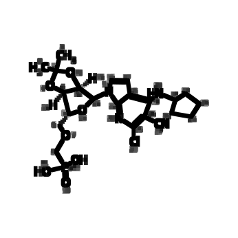 CC1(C)O[C@@H]2[C@@H](COCP(=O)(O)O)OC(n3ccc4c(NC5CCCC5)c(C#N)c(Cl)nc43)[C@@H]2O1